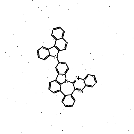 c1ccc2c(c1)-c1nc3ccccc3nc1-n1c3ccc(-n4c5ccccc5c5c6ccccc6ccc54)cc3c3cccc-2c31